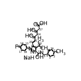 Cc1ccc(CNC(=O)c2nn(-c3ccc(F)cc3)c(C=C[C@H](O)C[C@@H](O)CC(=O)O)c2C(C)C)cc1.[NaH]